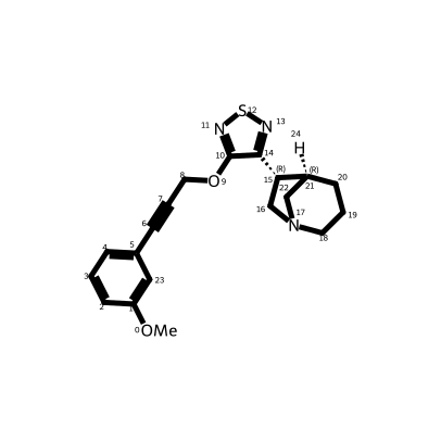 COc1cccc(C#CCOc2nsnc2[C@H]2CN3CCC[C@H]2C3)c1